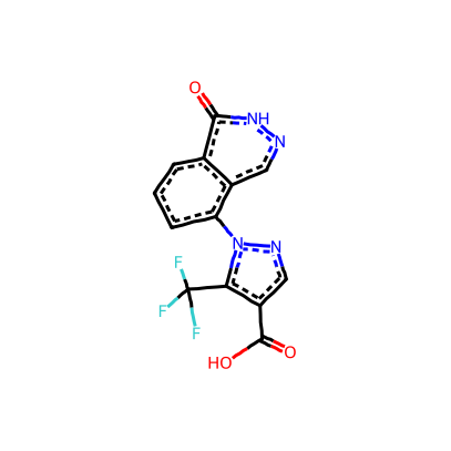 O=C(O)c1cnn(-c2cccc3c(=O)[nH]ncc23)c1C(F)(F)F